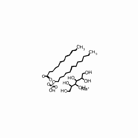 CCCCCCCCCCCC(=O)[O-].CCCCCCCCCCCCOS(=O)(=O)O.OCC(O)C(O)C(O)C(O)CO.[Na+]